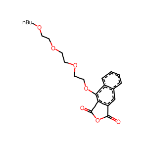 CCCCOCCOCCOCCOc1c2c(cc3ccccc13)C(=O)OC2=O